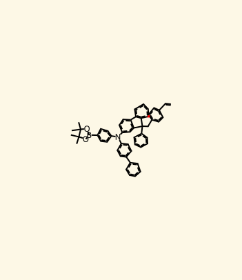 C=Cc1ccc(CC2(c3ccccc3)c3ccccc3-c3ccc(N(c4ccc(B5OC(C)(C)C(C)(C)O5)cc4)c4ccc(-c5ccccc5)cc4)cc32)cc1